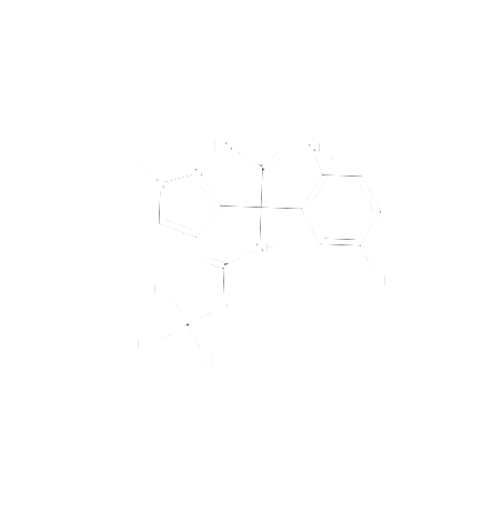 Cn1ccc(C(NC(=O)OC(C)(C)C)(C(N)=O)c2cc(Cl)ccc2N)n1